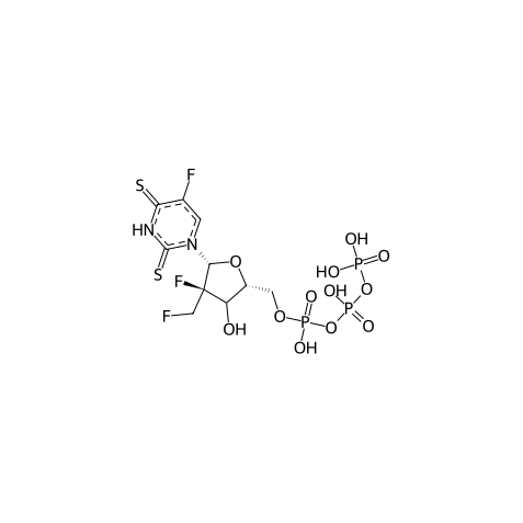 O=P(O)(O)OP(=O)(O)OP(=O)(O)OC[C@H]1O[C@@H](n2cc(F)c(=S)[nH]c2=S)[C@@](F)(CF)C1O